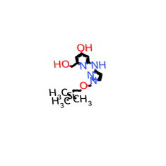 C[Si](C)(C)CCOCn1ccc(Nc2cc(O)cc(CO)n2)n1